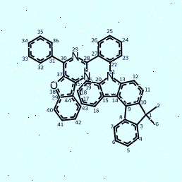 CC1(C)c2ccccc2-c2c1ccc1c2c2ccccc2n1-c1ccccc1-c1nc(-c2ccccc2)c2oc3ccccc3c2n1